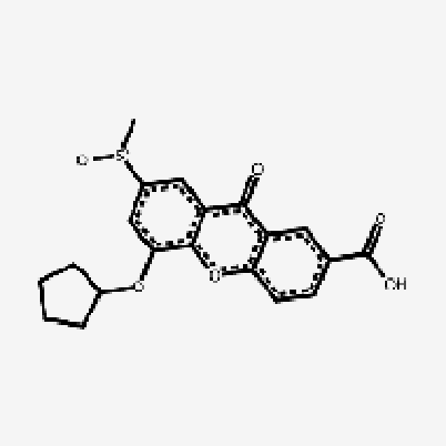 C[S+]([O-])c1cc(OC2CCCC2)c2oc3ccc(C(=O)O)cc3c(=O)c2c1